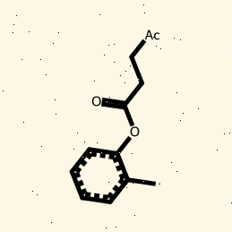 [CH2]c1ccccc1OC(=O)CCC(C)=O